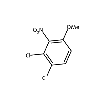 COc1ccc(Cl)c(Cl)c1[N+](=O)[O-]